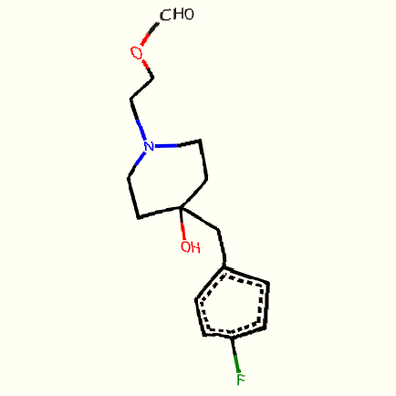 O=COCCN1CCC(O)(Cc2ccc(F)cc2)CC1